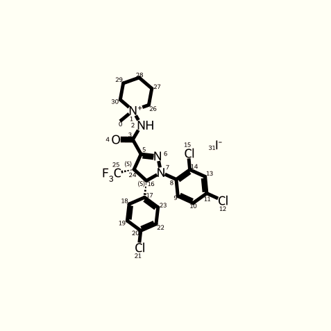 C[N+]1(NC(=O)C2=NN(c3ccc(Cl)cc3Cl)[C@H](c3ccc(Cl)cc3)[C@@H]2C(F)(F)F)CCCCC1.[I-]